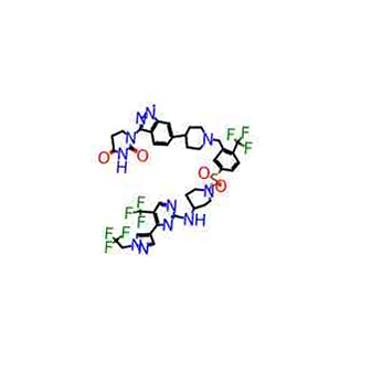 Cn1nc(N2CCC(=O)NC2=O)c2ccc(C3CCN(Cc4cc(S(=O)(=O)N5CCC(Nc6ncc(C(F)(F)F)c(-c7cnn(CC(F)(F)F)c7)n6)CC5)ccc4C(F)(F)F)CC3)cc21